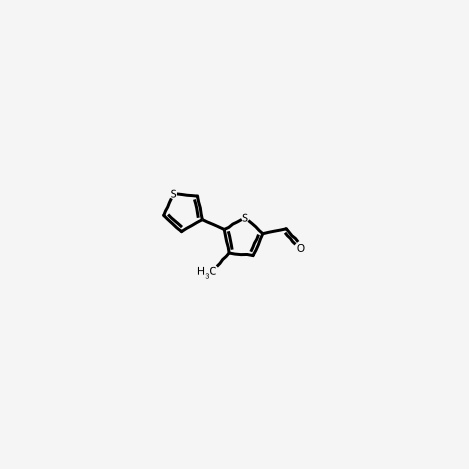 Cc1cc(C=O)sc1-c1ccsc1